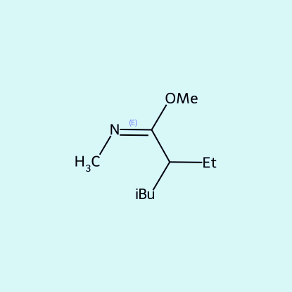 CCC(C)C(CC)/C(=N\C)OC